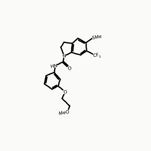 COCCOc1cccc(NC(=O)N2CCc3cc(SC)c(C(F)(F)F)cc32)c1